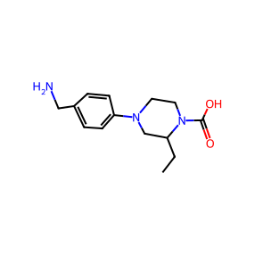 CCC1CN(c2ccc(CN)cc2)CCN1C(=O)O